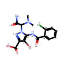 CN(C)C(C(N)=O)n1nc(C(=O)O)c(Br)c1NC(=O)c1ccccc1Cl